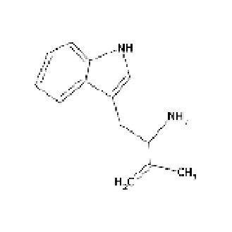 C=C(C)C(N)Cc1c[nH]c2ccccc12